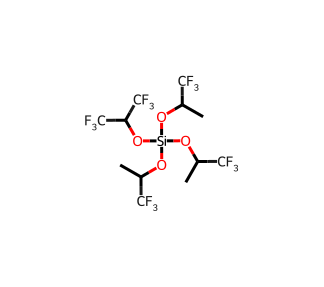 CC(O[Si](OC(C)C(F)(F)F)(OC(C)C(F)(F)F)OC(C(F)(F)F)C(F)(F)F)C(F)(F)F